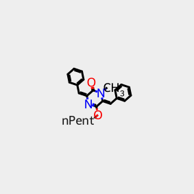 CCCCCOc1nc(=Cc2ccccc2)c(=O)n(C)c1=Cc1ccccc1